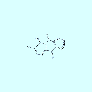 CC(=O)C1=C[C]=C2C(=O)c3ccccc3C(=O)C2C1N